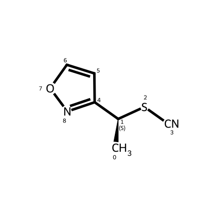 C[C@H](SC#N)c1ccon1